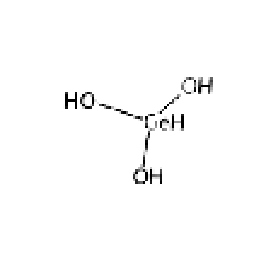 [OH][GeH]([OH])[OH]